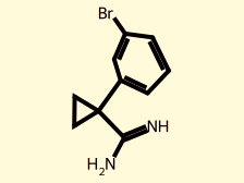 N=C(N)C1(c2cccc(Br)c2)CC1